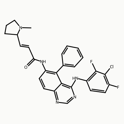 CN1CCCC1/C=C/C(=O)Nc1ccc2ncnc(Nc3ccc(F)c(Cl)c3F)c2c1-c1ccccc1